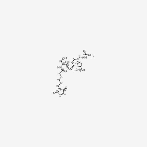 CC(C)(CS)C(=O)[C@H](CCCNC(N)=O)NC(=O)[C@H](CO)NC(=O)CCCCCN1C(=O)C=CC1=O